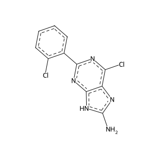 Nc1nc2c(Cl)nc(-c3ccccc3Cl)nc2[nH]1